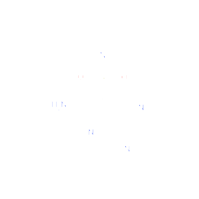 CCCN(C)S(=O)(=O)c1c(N)n(C2CCCCC2)c2nccnc12